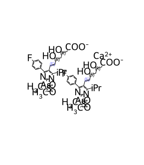 CC(C)c1nc([As](C)S(C)(=O)=O)nc(-c2ccc(F)cc2)c1/C=C/[C@@H](O)C[C@@H](O)CC(=O)[O-].CC(C)c1nc([As](C)S(C)(=O)=O)nc(-c2ccc(F)cc2)c1/C=C/[C@@H](O)C[C@@H](O)CC(=O)[O-].[Ca+2]